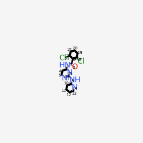 O=C(Nc1ccnc(Nc2ccccn2)n1)c1c(Cl)cccc1Cl